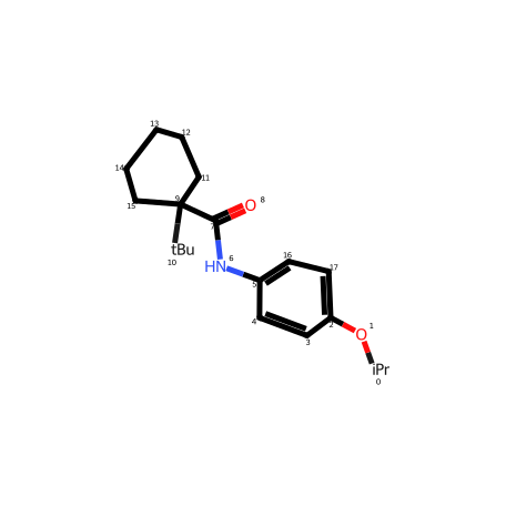 CC(C)Oc1ccc(NC(=O)C2(C(C)(C)C)CCCCC2)cc1